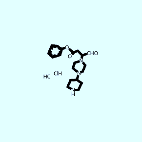 Cl.Cl.O=CC(CC(=O)Oc1ccccc1)N1CCN(C2CCNCC2)CC1